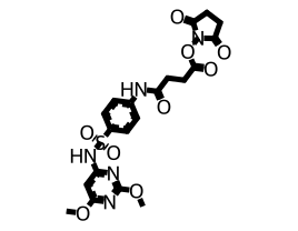 COc1cc(NS(=O)(=O)c2ccc(NC(=O)CCC(=O)ON3C(=O)CCC3=O)cc2)nc(OC)n1